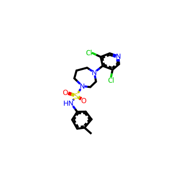 Cc1ccc(NS(=O)(=O)N2CCCN(c3c(Cl)cncc3Cl)CC2)cc1